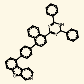 c1ccc(C2=NC(c3ccc(-c4ccc(-c5cccc6oc7cnccc7c56)cc4)c4ccccc34)=NC(c3ccccc3)N2)cc1